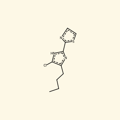 CCCCc1nc(-c2nccs2)[nH]c1Cl